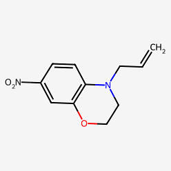 C=CCN1CCOc2cc([N+](=O)[O-])ccc21